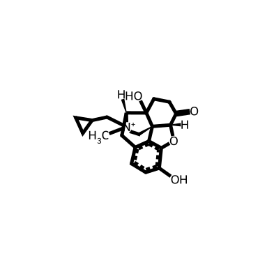 C[N+]1(CC2CC2)CC[C@]23c4c5ccc(O)c4O[C@H]2C(=O)CCC3(O)[C@H]1C5